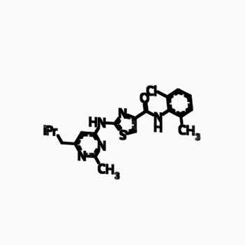 Cc1nc(CC(C)C)cc(Nc2nc(C(=O)Nc3c(C)cccc3Cl)cs2)n1